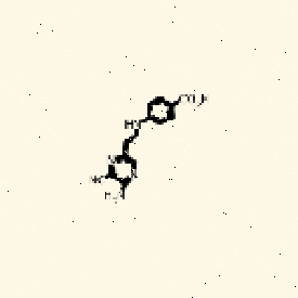 N#Cc1nc(CCNc2ccc(C(=O)O)cc2)cnc1N